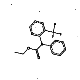 [CH2]COC(=O)N(c1ccccc1)c1ccccc1C(F)(F)F